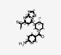 C[C@@H]1CCN(C(=O)c2ccc(N)nc2)C[C@H]1c1cc(C(F)F)nc2ncnn12